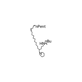 C=C(CCCC)NCCCC(CCCCCCCCCC/C=C\C/C=C\CCCCC)CN1CCCCC1